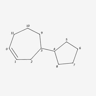 C1=CCC(C2CCCC2)CCC1